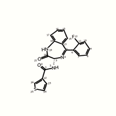 O=C(N[C@H]1N=C(c2ccccc2F)c2ccccc2NC1=O)c1ccsc1